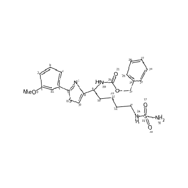 COc1cccc(-c2nc(C(CCCCNS(N)(=O)=O)NC(=O)OCc3ccccc3)cs2)c1